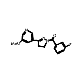 COc1cncc(C2=NN(C(=O)c3cccc(F)c3)CC2)c1